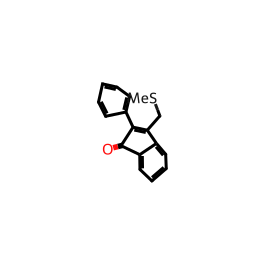 CSCC1=C(c2ccccc2)C(=O)c2ccccc21